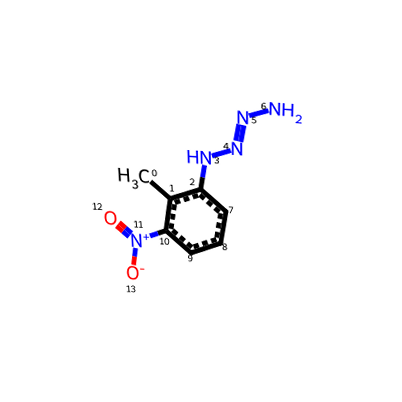 Cc1c(NN=NN)cccc1[N+](=O)[O-]